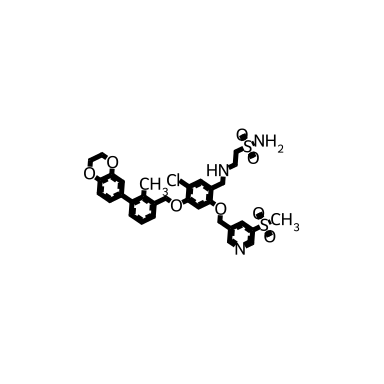 Cc1c(COc2cc(OCc3cncc(S(C)(=O)=O)c3)c(CNCCS(N)(=O)=O)cc2Cl)cccc1-c1ccc2c(c1)OCCO2